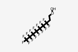 OOCCC(F)(F)C(F)(F)C(F)(F)C(F)(F)C(F)(F)C(F)(F)C(F)(F)F